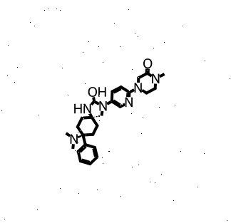 CN1CCN(c2ccc(N3C[C@]4(CC[C@](c5ccccc5)(N(C)C)CC4)NC3O)cn2)CC1=O